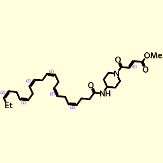 CC/C=C\C/C=C\C/C=C\C/C=C\C/C=C\C/C=C\CCC(=O)NC1CCN(C(=O)/C=C/C(=O)OC)CC1